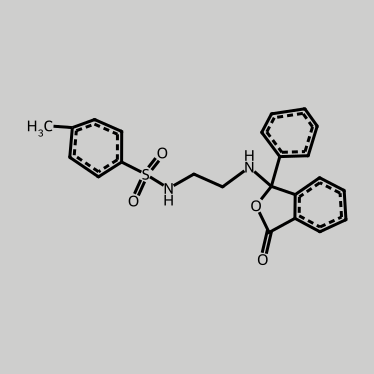 Cc1ccc(S(=O)(=O)NCCNC2(c3ccccc3)OC(=O)c3ccccc32)cc1